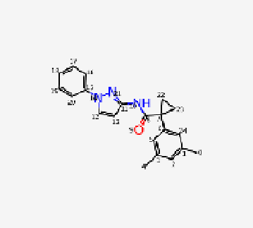 Cc1cc(C)cc(C2(C(=O)Nc3ccn(-c4ccccc4)n3)CC2)c1